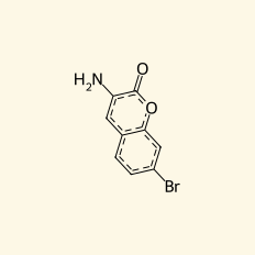 Nc1cc2ccc(Br)cc2oc1=O